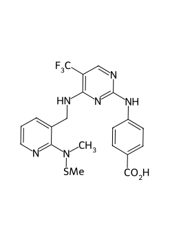 CSN(C)c1ncccc1CNc1nc(Nc2ccc(C(=O)O)cc2)ncc1C(F)(F)F